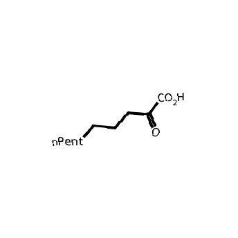 CCCCCCCCC(=O)C(=O)O